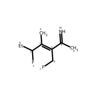 CCC(F)/C(C)=C(\CF)C(C)=N